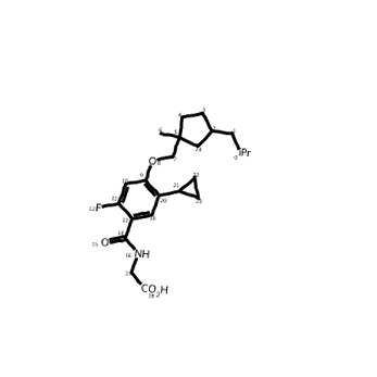 CC(C)CC1CCC(C)(COc2cc(F)c(C(=O)NCC(=O)O)cc2C2CC2)C1